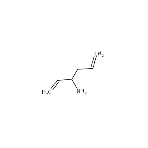 C=C[CH]C(N)C=C